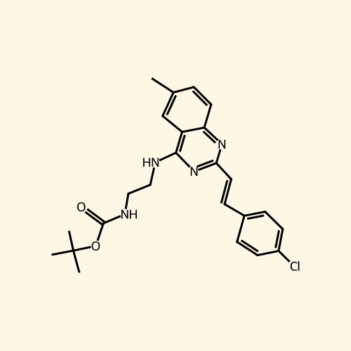 Cc1ccc2nc(/C=C/c3ccc(Cl)cc3)nc(NCCNC(=O)OC(C)(C)C)c2c1